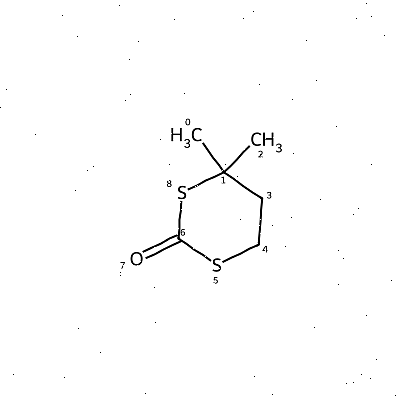 CC1(C)CCSC(=O)S1